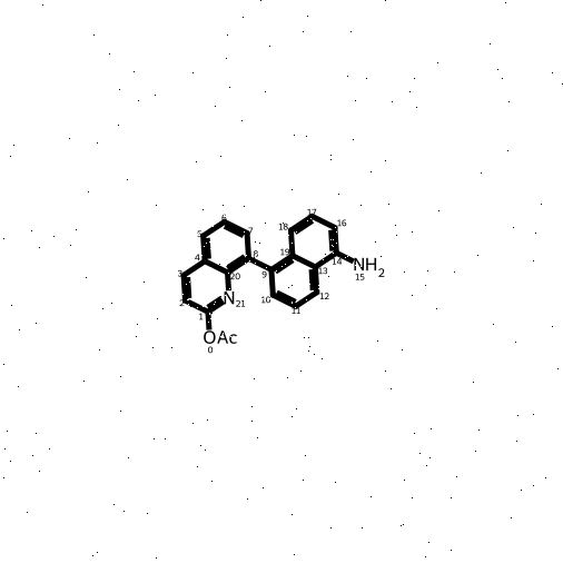 CC(=O)Oc1ccc2cccc(-c3cccc4c(N)cccc34)c2n1